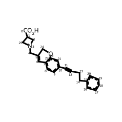 O=C(O)C1CN(CC2=Cc3ccc(C#CCCc4ccccc4)cc3OC2)C1